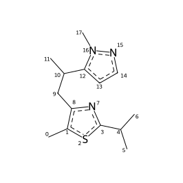 Cc1sc(C(C)C)nc1CC(C)c1ccnn1C